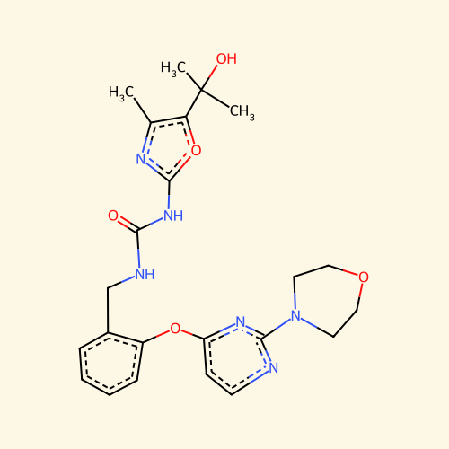 Cc1nc(NC(=O)NCc2ccccc2Oc2ccnc(N3CCOCC3)n2)oc1C(C)(C)O